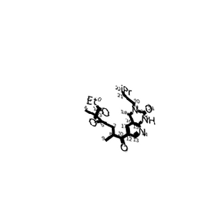 CCC(=O)C1(C)OC1CC(C)C(=O)c1cnc2c(c1)CN(CCC(C)C)C(=O)N2